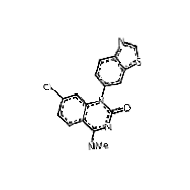 CNc1nc(=O)n(-c2ccc3ncsc3c2)c2cc(Cl)ccc12